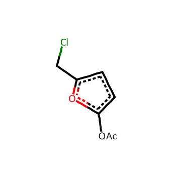 CC(=O)Oc1ccc(CCl)o1